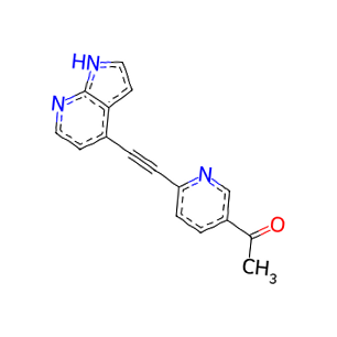 CC(=O)c1ccc(C#Cc2ccnc3[nH]ccc23)nc1